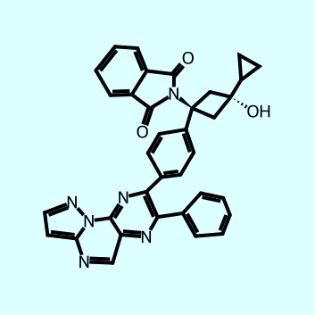 O=C1c2ccccc2C(=O)N1[C@]1(c2ccc(-c3nc4c(cnc5ccnn54)nc3-c3ccccc3)cc2)C[C@](O)(C2CC2)C1